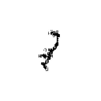 CC1(C)CCC(CN2CCN(c3ccc(C(=O)NS(=O)(=O)c4ccc(NCC5CCN(C6CCN(CCCCCCc7cccc8c7CN(C7CCC(=O)NC7=O)C8=O)CC6)CC5)c([N+](=O)[O-])c4)c(Oc4cnc5[nH]ccc5c4)c3)CC2)=C(c2ccc(Cl)cc2)C1